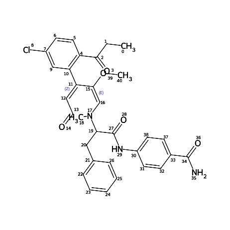 CCC(=O)c1ccc(Cl)cc1C(=C/C=O)/C(=C\N(C)C(Cc1ccccc1)C(=O)Nc1ccc(C(N)=O)cc1)OC